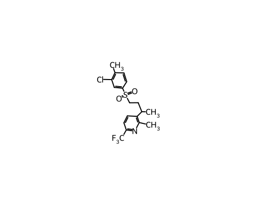 Cc1ccc(S(=O)(=O)CCC(C)c2ccc(C(F)(F)F)nc2C)cc1Cl